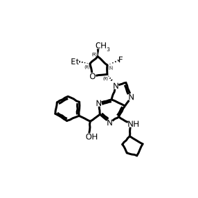 CC[C@H]1O[C@@H](n2cnc3c(NC4CCCC4)nc(C(O)c4ccccc4)nc32)[C@@H](F)[C@@H]1C